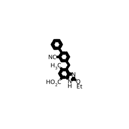 CCOc1nc2c(Cc3ccc(-c4ccccc4)c(C#N)c3)c(C)cc(C(=O)O)c2[nH]1